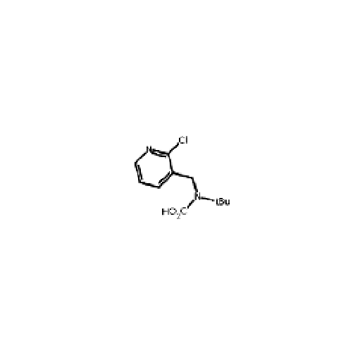 CC(C)(C)N(Cc1cccnc1Cl)C(=O)O